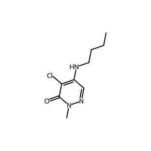 CCCCNc1cnn(C)c(=O)c1Cl